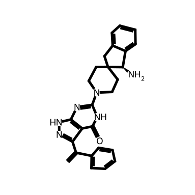 C=C(c1ccccc1)c1n[nH]c2nc(N3CCC4(CC3)Cc3ccccc3[C@H]4N)[nH]c(=O)c12